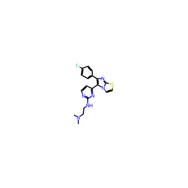 CN(C)CCNc1nccc(-c2c(-c3ccc(F)cc3)nc3sccn23)n1